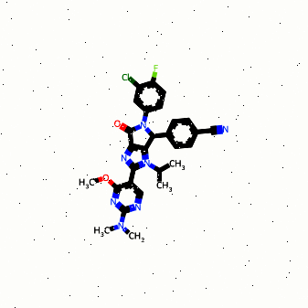 COc1nc(N(C)C)ncc1-c1nc2c(n1C(C)C)C(c1ccc(C#N)cc1)N(c1ccc(F)c(Cl)c1)C2=O